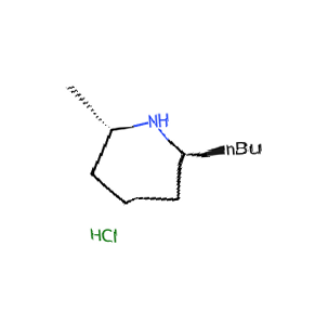 CCCC[C@H]1CCC[C@H](C)N1.Cl